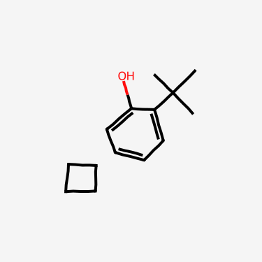 C1CCC1.CC(C)(C)c1ccccc1O